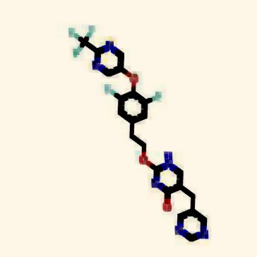 O=c1nc(OCCc2cc(F)c(Oc3cnc(C(F)(F)F)nc3)c(F)c2)[nH]cc1Cc1cncnc1